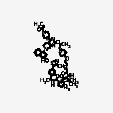 C=CC(=O)N1CCN(c2nc(O[C@H](C)CN3CCC(OCCOCC(=O)N[C@H](C(=O)N4CCC[C@H]4C(=O)N[C@@H](C)c4ccc(-c5scnc5C)cc4)C(C)(C)C)CC3)nc3c2CCN(c2cc(O)cc4ccccc24)C3)CC1